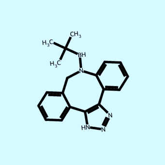 CC(C)(C)BN1Cc2ccccc2-c2[nH]nnc2-c2ccccc21